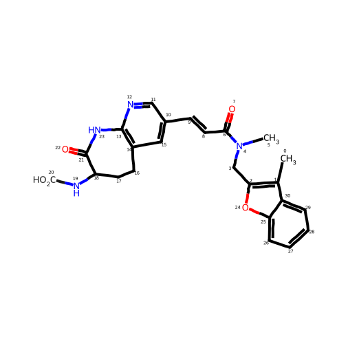 Cc1c(CN(C)C(=O)C=Cc2cnc3c(c2)CCC(NC(=O)O)C(=O)N3)oc2ccccc12